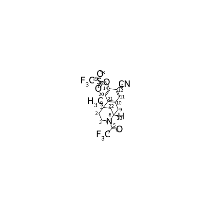 CC12CCN(C(=O)C(F)(F)F)[C@@H](Cc3cc(C#N)c(OS(=O)(=O)C(F)(F)F)cc31)C2